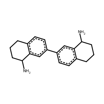 NC1CCCc2ccc(-c3ccc4c(c3)C(N)CCC4)cc21